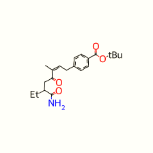 CCC(CC(=O)/C(C)=C\Cc1ccc(C(=O)OC(C)(C)C)cc1)C(N)=O